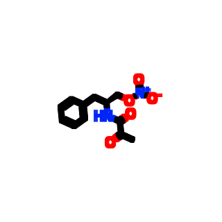 CC(=O)C(=O)N[C@H](CO[N+](=O)[O-])Cc1ccccc1